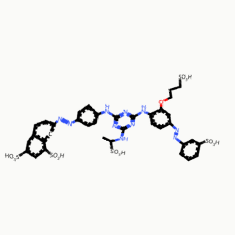 CC(Nc1nc(Nc2ccc(N=Nc3ccc4cc(S(=O)(=O)O)cc(S(=O)(=O)O)c4c3)cc2)nc(Nc2ccc(N=Nc3cccc(S(=O)(=O)O)c3)cc2OCCCS(=O)(=O)O)n1)S(=O)(=O)O